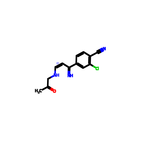 CC(=O)CN/C=C\C(=N)c1ccc(C#N)c(Cl)c1